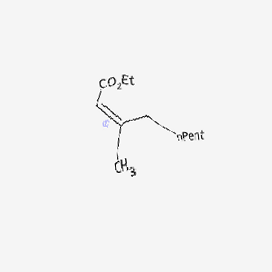 CCCCCC/C(C)=C\C(=O)OCC